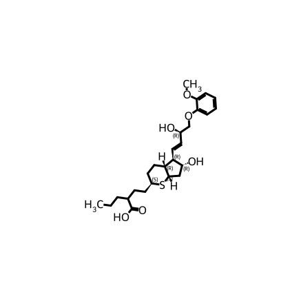 CCCC(CC[C@H]1CC[C@@H]2[C@@H](C=C[C@@H](O)COc3ccccc3OC)[C@H](O)C[C@@H]2S1)C(=O)O